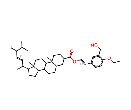 CCOc1ccc(/C=C/OC(=O)C2CCC3(C)C(CCC4C3CCC3(C)C(C(C)/C=C/C(CC)C(C)C)CCC43)C2)cc1CO